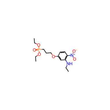 CCNc1cc(OCCCP(=O)(OCC)OCC)ccc1[N+](=O)[O-]